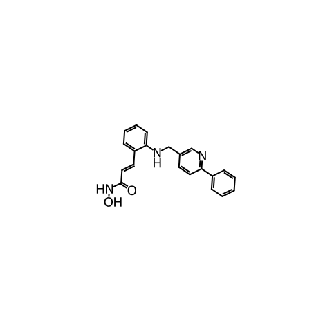 O=C(C=Cc1ccccc1NCc1ccc(-c2ccccc2)nc1)NO